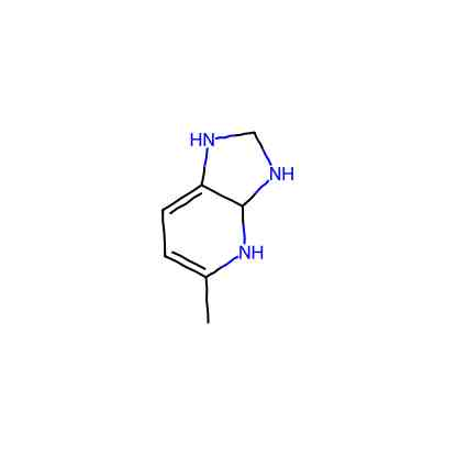 CC1=CC=C2NCNC2N1